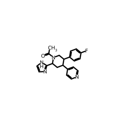 CC(=O)N1CC(c2ccc(F)cc2)C(c2ccncc2)CC1c1ncc[nH]1